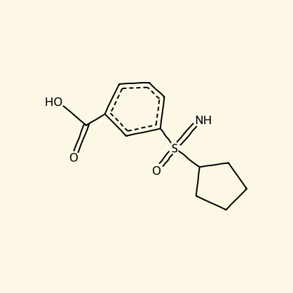 N=S(=O)(c1cccc(C(=O)O)c1)C1CCCC1